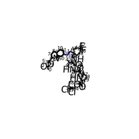 CC(=O)O[C@H](C)c1ccc2ccc(/C=C/C3(CN[C@H](C(=O)N[C@@H](C)C(=O)N4CCC[C@@H](C(=O)OCC(Cl)(Cl)Cl)N4)C(C)C)CCC(F)(F)CC3)cc2n1